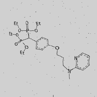 CCOP(=O)(OCC)C(c1ccc(OCCCN(C)c2ccccn2)cc1)P(=O)(OCC)OCC